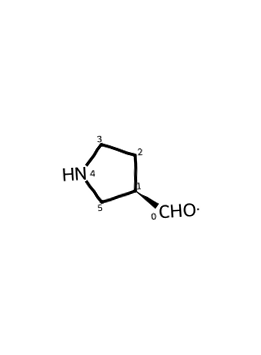 O=[C][C@@H]1CCNC1